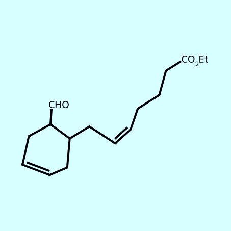 CCOC(=O)CCC/C=C\CC1CC=CCC1C=O